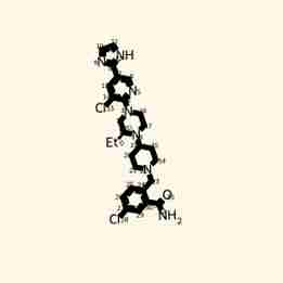 CC[C@H]1CN(c2ncc(-c3ncc[nH]3)cc2Cl)CCN1C1CCN(Cc2ccc(Cl)cc2C(N)=O)CC1